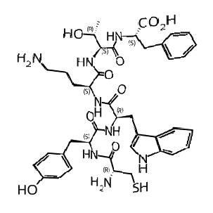 C[C@@H](O)[C@H](NC(=O)[C@H](CCCN)NC(=O)[C@@H](Cc1c[nH]c2ccccc12)NC(=O)[C@H](Cc1ccc(O)cc1)NC(=O)[C@@H](N)CS)C(=O)N[C@@H](Cc1ccccc1)C(=O)O